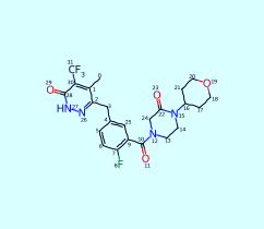 Cc1c(Cc2ccc(F)c(C(=O)N3CCN(C4CCOCC4)C(=O)C3)c2)n[nH]c(=O)c1C(F)(F)F